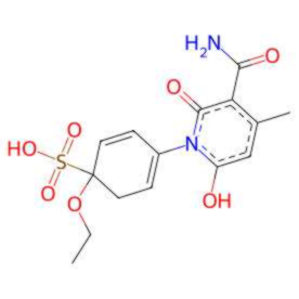 CCOC1(S(=O)(=O)O)C=CC(n2c(O)cc(C)c(C(N)=O)c2=O)=CC1